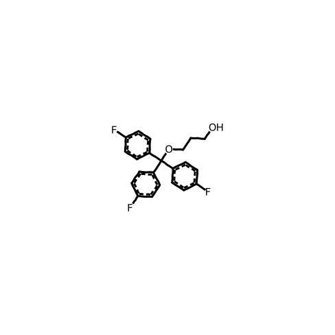 OCCCOC(c1ccc(F)cc1)(c1ccc(F)cc1)c1ccc(F)cc1